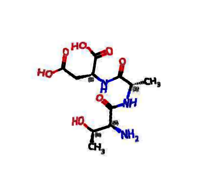 C[C@H](NC(=O)[C@@H](N)[C@@H](C)O)C(=O)N[C@@H](CC(=O)O)C(=O)O